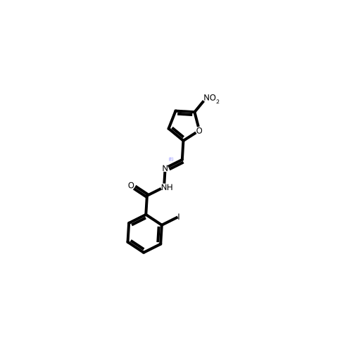 O=C(N/N=C/c1ccc([N+](=O)[O-])o1)c1ccccc1I